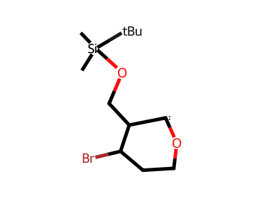 CC(C)(C)[Si](C)(C)OCC1[C]OCCC1Br